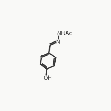 CC(=O)NN=Cc1ccc(O)cc1